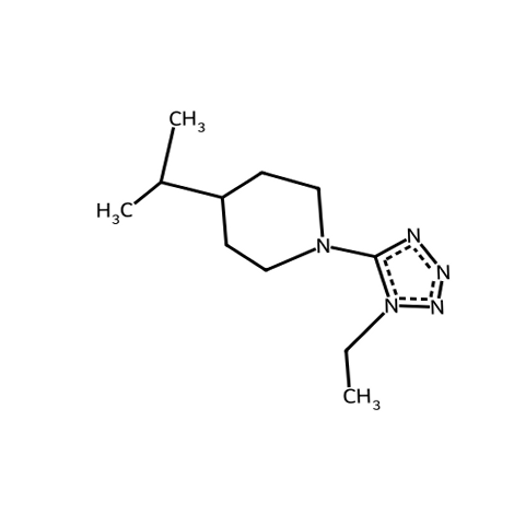 CCn1nnnc1N1CCC(C(C)C)CC1